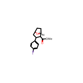 COC(=O)C1C(c2ccc(I)cc2)CC2CC[C@@H]1O2